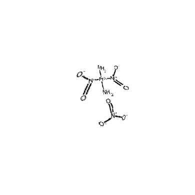 O=[N+]([O-])[O-].[NH2][Pt+2]([NH2])([N+](=O)[O-])[N+](=O)[O-]